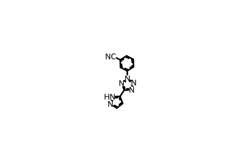 N#Cc1cccc(-n2nnc(-c3ccn[nH]3)n2)c1